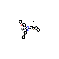 C=C1C(c2ccc3c(c2)oc2ccccc23)=NC(c2ccc3c(c2)sc2c4ccccc4ccc32)=NC1c1ccc(-c2ccccc2)cc1